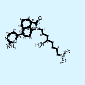 CCN(CC)CCCCC(N)CCCN1C(=O)c2cccc3c(-c4ccnc(N)n4)ccc1c23